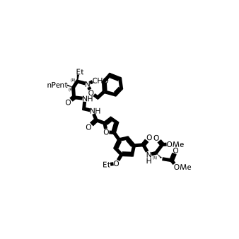 CCCCC[C@@H](C(=O)NCNC(=O)c1ccc(-c2cc(OCC)cc(C(=O)N[C@@H](CC(=O)OC)C(=O)OC)c2)o1)[C@@H](CC)N(C=O)OCc1ccccc1